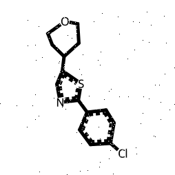 Clc1ccc(-c2ncc(C3CCOCC3)s2)cc1